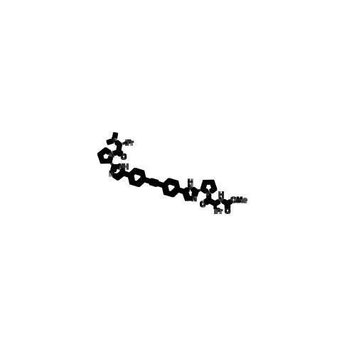 COC(=O)N[C@H](C(=O)N1CCC[C@H]1c1ncc(-c2ccc(C#Cc3ccc(-c4cnc([C@@H]5CCCN5C(=O)[C@@H](C(C)C)N(C)C)[nH]4)cc3)cc2)[nH]1)C(C)C